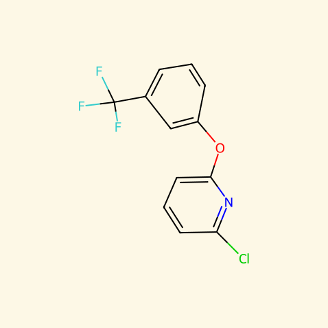 FC(F)(F)c1cccc(Oc2cccc(Cl)n2)c1